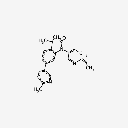 C\C=C/N=C\C(=C/C)N1C(=O)C(C)(C)c2ccc(-c3cnc(C)nc3)cc21